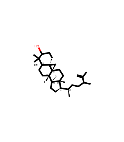 C=C(C)C(C)CC[C@@H](C)[C@H]1CC[C@@]2(C)[C@@H]3CC[C@H]4C(C)(C)C(O)CC[C@@]45C[C@@]35CC[C@]12C